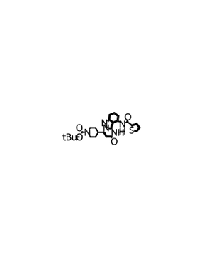 CC(C)(C)OC(=O)N1CCC(c2cc(=O)[nH]c3c4c(NC(=O)c5cccs5)cccc4nn23)CC1